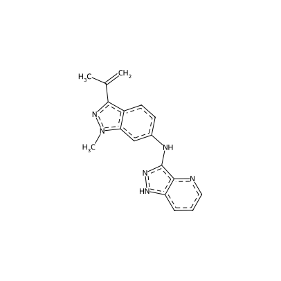 C=C(C)c1nn(C)c2cc(Nc3n[nH]c4cccnc34)ccc12